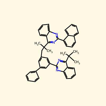 CC(C)(C)c1nc(-c2cc(CC(C)(C)c3nc(-c4cccc5ccccc45)nc4ccccc34)cc(-c3ccccc3)c2)nc2ccccc12